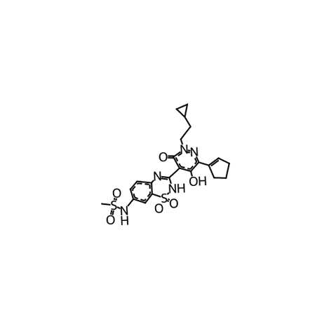 CS(=O)(=O)Nc1ccc2c(c1)S(=O)(=O)NC(c1c(O)c(C3=CCCC3)nn(CCC3CC3)c1=O)=N2